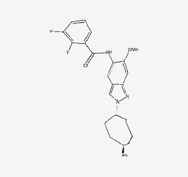 COc1cc2nn([C@H]3CC[C@H](C(C)C)CC3)cc2cc1NC(=O)c1cccc(F)c1F